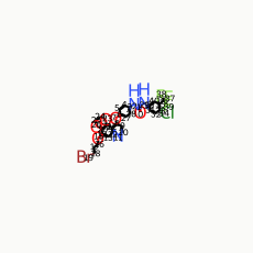 O=C(Nc1ccc(Oc2ccnc3cc(OCCCBr)c4c(c23)OCCO4)cc1)Nc1ccc(Cl)c(C(F)(F)F)c1